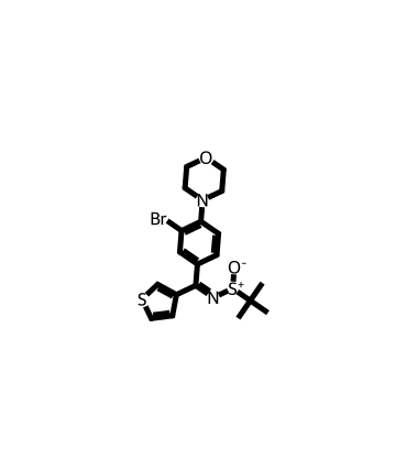 CC(C)(C)[S+]([O-])/N=C(/c1ccsc1)c1ccc(N2CCOCC2)c(Br)c1